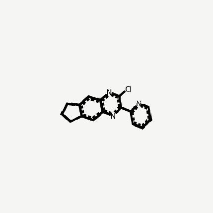 Clc1nc2cc3c(cc2nc1-c1ccccn1)CCC3